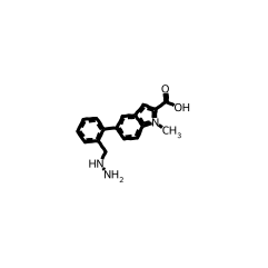 Cn1c(C(=O)O)cc2cc(-c3ccccc3CNN)ccc21